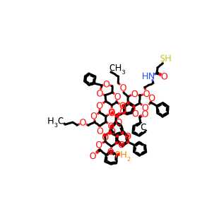 CCCCOCC1OC(OCCNC(=O)CCS)C(OC(=O)c2ccccc2)C(OC(=O)c2ccccc2)C1OC1OC2COC(c3ccccc3)OC2C(OC2OC(COCCCC)C(OC3OC4COC(c5ccccc5)OC4C(OP)C3OC(=O)c3ccccc3)C(OC(=O)c3ccccc3)C2OC(=O)c2ccccc2)C1OC(=O)c1ccccc1